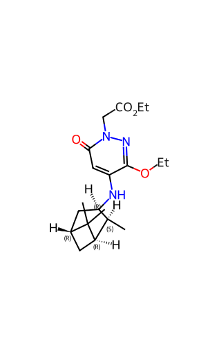 CCOC(=O)Cn1nc(OCC)c(N[C@@H]2C[C@H]3C[C@H]([C@@H]2C)C3(C)C)cc1=O